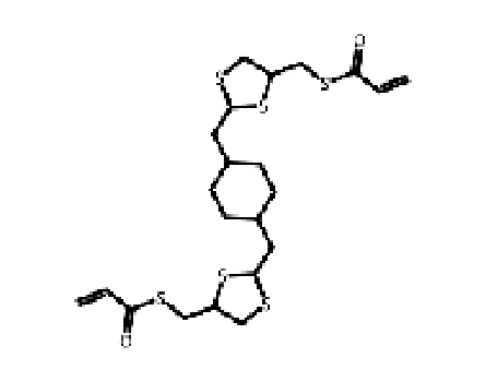 C=CC(=O)SCC1CSC(CC2CCC(CC3SCC(CSC(=O)C=C)S3)CC2)S1